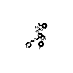 CC(NC(=O)Nc1cc2cnn(-c3ccc(F)cc3)c2c(COCCN2CCOCC2)n1)c1ccccc1